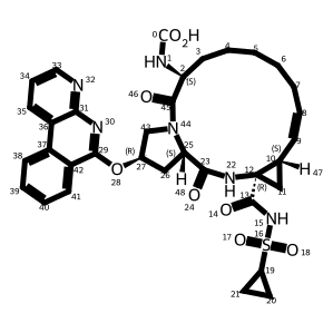 O=C(O)N[C@H]1CCCCCC=C[C@@H]2C[C@@]2(C(=O)NS(=O)(=O)C2CC2)NC(=O)[C@@H]2C[C@@H](Oc3nc4ncccc4c4ccccc34)CN2C1=O